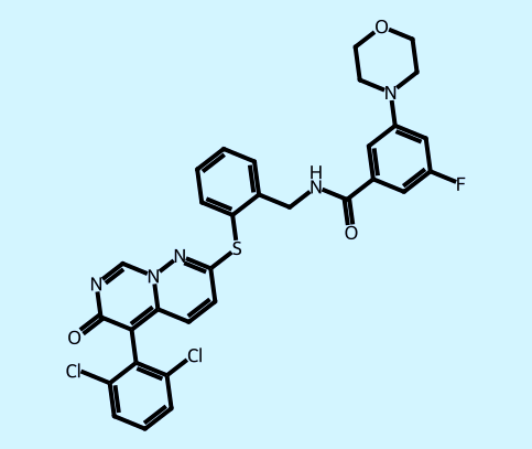 O=C(NCc1ccccc1Sc1ccc2c(-c3c(Cl)cccc3Cl)c(=O)ncn2n1)c1cc(F)cc(N2CCOCC2)c1